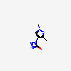 Cc1nn(C)cc1-n1[nH][nH]c1=O